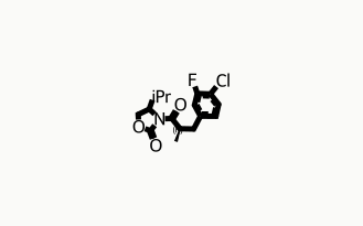 CC(C)C1COC(=O)N1C(=O)[C@H](C)Cc1ccc(Cl)c(F)c1